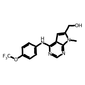 Cn1c(CO)cc2c(Nc3ccc(OC(F)(F)F)cc3)ncnc21